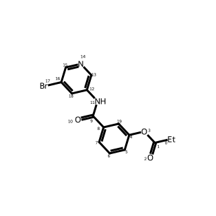 CCC(=O)Oc1cccc(C(=O)Nc2cncc(Br)c2)c1